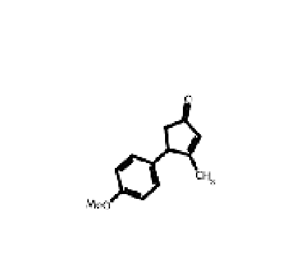 COc1ccc(C2CC(=O)C=C2C)cc1